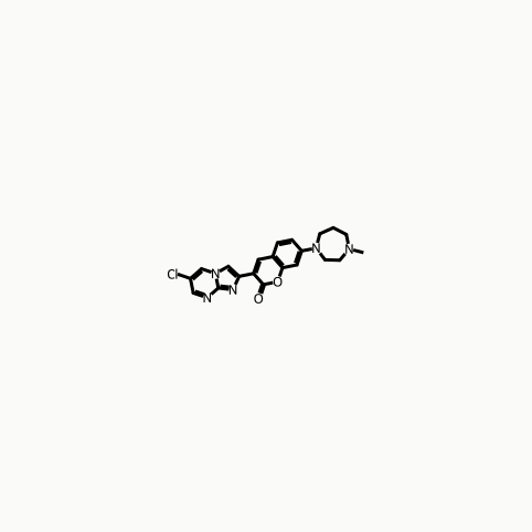 CN1CCCN(c2ccc3cc(-c4cn5cc(Cl)cnc5n4)c(=O)oc3c2)CC1